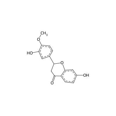 COc1ccc(C2CC(=O)c3ccc(O)cc3O2)cc1O